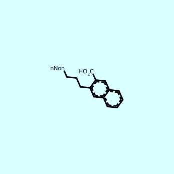 CCCCCCCCCCCCc1cc2ccccc2cc1C(=O)O